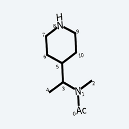 [CH2]C(=O)N(C)C(C)C1CCNCC1